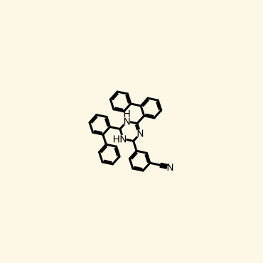 N#Cc1cccc(C2N=C(c3ccccc3-c3ccccc3)NC(c3ccccc3-c3ccccc3)N2)c1